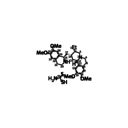 CC[C@H]1CN2CCc3cc(OC)c(OC)cc3[C@@H]2C[C@@H]1C[C@H]1NCCc2cc(OC)c(OC)cc21.NC(=S)S